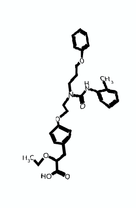 CCOC(Cc1ccc(OCCN(CCCOc2ccccc2)C(=O)Nc2ccccc2C)cc1)C(=O)O